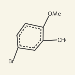 [CH]c1cc(Br)ccc1OC